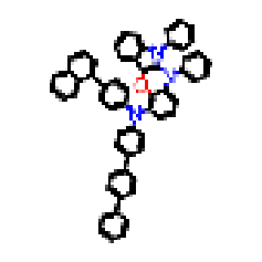 c1ccc(-c2ccc(-c3ccc(N(c4ccc(-c5cccc6ccccc56)cc4)c4cccc5c4Oc4c(n(-c6ccccc6)c6ccccc46)N5c4ccccc4)cc3)cc2)cc1